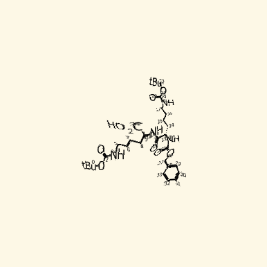 CC(C)(C)OC(=O)NCCCC[C@H](NC(=O)[C@H](CCCCNC(=O)OC(C)(C)C)NC(=O)OCc1ccccc1)C(=O)O